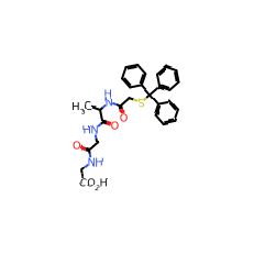 CC(NC(=O)CSC(c1ccccc1)(c1ccccc1)c1ccccc1)C(=O)NCC(=O)NCC(=O)O